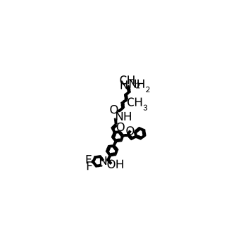 C=N\C(N)=C/C=C(C)/C=C/C(=O)NCc1cc2cc(-c3ccc(C(O)N4CCC(F)(F)CC4)cc3)cc(-c3cc4ccccc4o3)c2o1